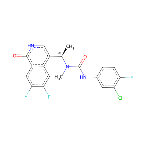 C[C@H](c1c[nH]c(=O)c2cc(F)c(F)cc12)N(C)C(=O)Nc1ccc(F)c(Cl)c1